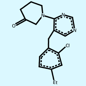 CCc1ccc(Cc2cncnc2N2CCCC(=O)C2)c(Cl)c1